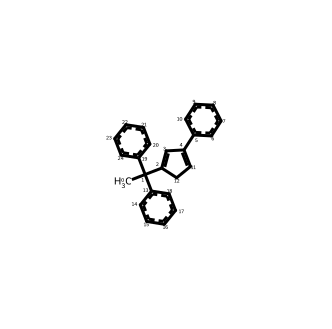 CC(C1=CC(c2ccccc2)=CC1)(c1ccccc1)c1ccccc1